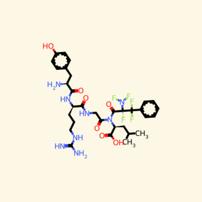 CC(C)C[C@@H](C(=O)O)N(C(=O)CNC(=O)[C@@H](CCCNC(=N)N)NC(=O)[C@@H](N)Cc1ccc(O)cc1)C(=O)[C@@](F)(N(F)F)C(F)(F)c1ccccc1